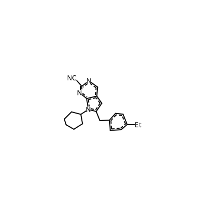 CCc1ccc(Cc2cc3cnc(C#N)nc3n2C2CCCCC2)cc1